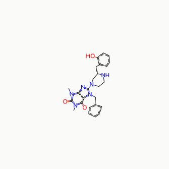 Cn1c(=O)c2c(nc(N3CCNC(Cc4ccccc4O)C3)n2Cc2ccccc2)n(C)c1=O